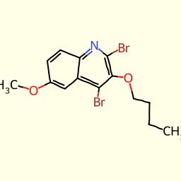 CCCCOc1c(Br)nc2ccc(OC)cc2c1Br